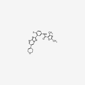 Cc1nc(C)c(C(=O)Nc2ccc(F)c(-c3nc4ncc(C5=CCOCC5)cn4n3)c2)o1